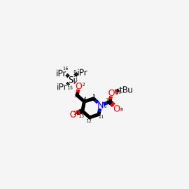 CC(C)[Si](OCC1CN(C(=O)OC(C)(C)C)CCC1=O)(C(C)C)C(C)C